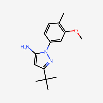 COc1cc(-n2nc(C(C)(C)C)cc2N)ccc1C